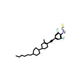 CCCCCCC1CCC(C2CCC(C#Cc3cc(F)c(N=C=S)c(F)c3)=C(C)C2)CC1